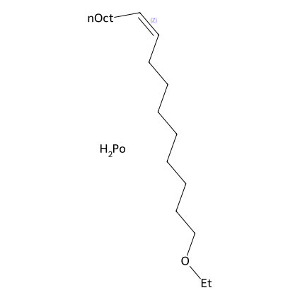 CCCCCCCC/C=C\CCCCCCCCOCC.[PoH2]